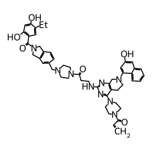 C=CC(=O)N1CCN(c2nc(NCCC(=O)N3CCN(Cc4ccc5c(c4)CN(C(=O)c4cc(CC)c(O)cc4O)C5)CC3)nc3c2CCN(c2cc(O)cc4ccccc24)C3)CC1